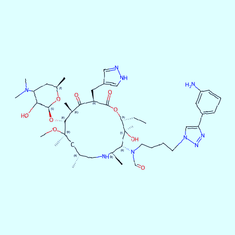 CC[C@H]1OC(=O)[C@H](Cc2cn[nH]c2)C(=O)[C@H](C)[C@@H](O[C@@H]2O[C@H](C)CC(N(C)C)C2O)[C@](C)(OC)C[C@@H](C)CN[C@H](C)[C@@H](N(C=O)CCCCn2cc(-c3cccc(N)c3)nn2)[C@]1(C)O